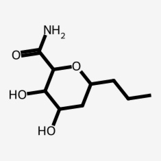 CCCC1CC(O)C(O)C(C(N)=O)O1